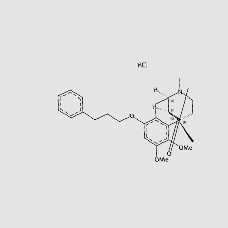 COc1cc(OCCCc2ccccc2)c2c(c1OC)[C@]13CCN(C)[C@H](C2)[C@@H]1CCC(=O)[C@H]3C.Cl